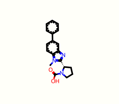 Cn1c([C@@H]2CCCN2C(=O)O)nc2cc(-c3ccccc3)ccc21